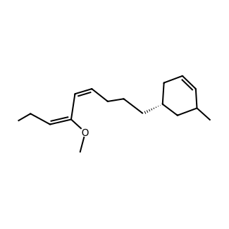 CC/C=C(\C=C/CCC[C@@H]1CC=CC(C)C1)OC